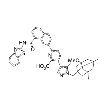 COC12CC3(C)CC(C)(CC(Cn4ncc(-c5ccc(-c6ccc7cccc(C(=O)Nc8nc9ccccc9s8)c7c6)nc5C(=O)O)c4C)(C3)C1)C2